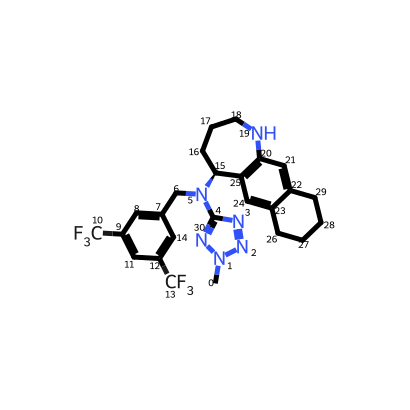 Cn1nnc(N(Cc2cc(C(F)(F)F)cc(C(F)(F)F)c2)[C@H]2CCCNc3cc4c(cc32)CCCC4)n1